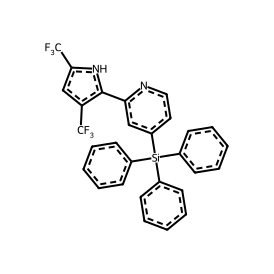 FC(F)(F)c1cc(C(F)(F)F)c(-c2cc([Si](c3ccccc3)(c3ccccc3)c3ccccc3)ccn2)[nH]1